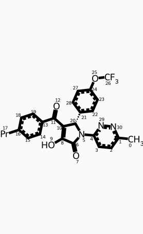 Cc1ccc(N2C(=O)C(O)=C(C(=O)c3ccc(C(C)C)cc3)[C@@H]2c2ccc(OC(F)(F)F)cc2)nn1